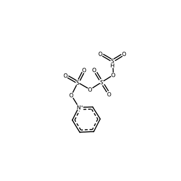 O=[SH](=O)OS(=O)(=O)OS(=O)(=O)O[n+]1ccccc1